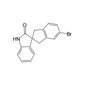 O=C1Nc2ccccc2C12Cc1ccc(Br)cc1C2